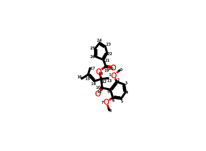 COc1cccc(OC)c1C(=O)C(C)(C=C(C)C)OC(=O)c1ccccc1